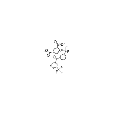 COC(=O)c1cc([N+](=O)[O-])ccc1OC(c1cccc(C(F)(F)F)c1)c1cccc(C(F)(F)F)c1